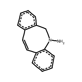 NN1Cc2ccccc2/C=C\c2ccccc21